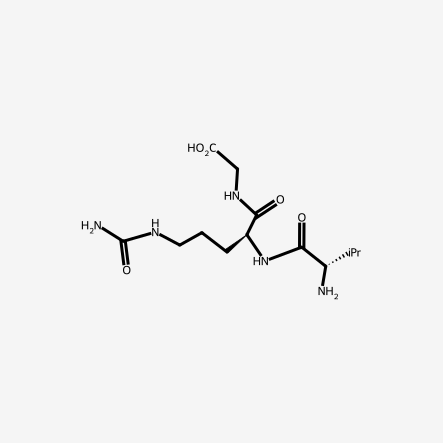 CC(C)[C@H](N)C(=O)N[C@@H](CCCNC(N)=O)C(=O)NCC(=O)O